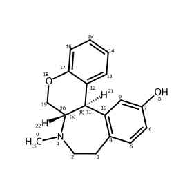 CN1CCc2ccc(O)cc2[C@@H]2c3ccccc3OC[C@H]21